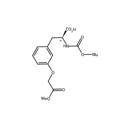 COC(=O)COc1cccc(C[C@H](NC(=O)OC(C)(C)C)C(=O)O)c1